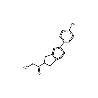 COC(=O)C1Cc2ccc(-c3ccc(O)cc3)cc2C1